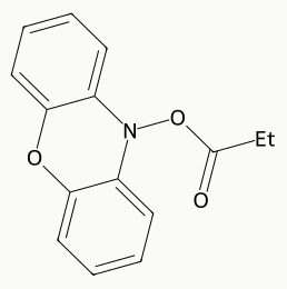 CCC(=O)ON1c2ccccc2Oc2ccccc21